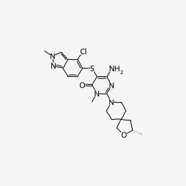 C[C@H]1CC2(CCN(c3nc(N)c(Sc4ccc5nn(C)cc5c4Cl)c(=O)n3C)CC2)CO1